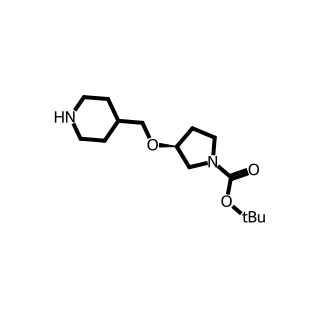 CC(C)(C)OC(=O)N1CC[C@H](OCC2CCNCC2)C1